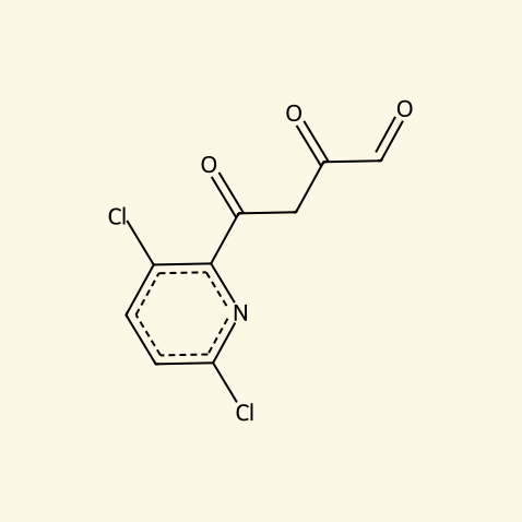 O=CC(=O)CC(=O)c1nc(Cl)ccc1Cl